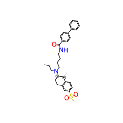 CCCN(CCCCNC(=O)c1ccc(-c2ccccc2)cc1)[C@H]1CCc2cc(S(C)(=O)=O)ccc2[C@H]1C